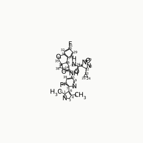 CC1=NCC(C)=C1c1ncc(NC(=O)[C@@H](NC(=O)c2nonc2C2CC2)C2c3ccc(F)cc3OCC23CC3)cc1F